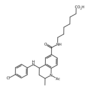 CC(=O)N1c2ccc(C(=O)NCCCCCCC(=O)O)cc2C(Nc2ccc(Cl)cc2)CC1C